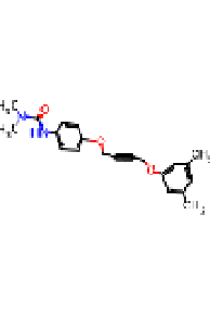 Cc1cc(C)cc(OCC#CCOc2ccc(NC(=O)N(C)C)cc2)c1